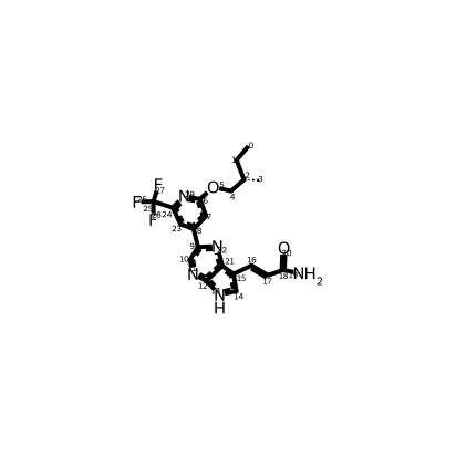 CC[C@H](C)COc1cc(-c2cnc3[nH]cc(/C=C/C(N)=O)c3n2)cc(C(F)(F)F)n1